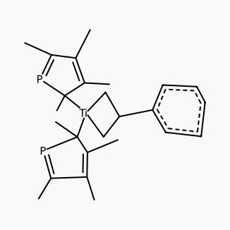 CC1=P[C](C)([Ti]2([C]3(C)P=C(C)C(C)=C3C)[CH2]C(c3ccccc3)[CH2]2)C(C)=C1C